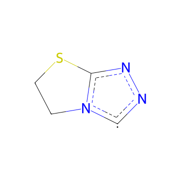 [c]1nnc2n1CCS2